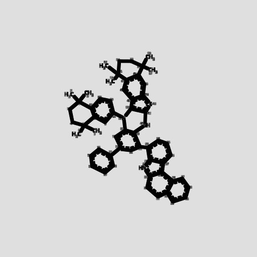 CC1(C)CCC(C)(C)c2cc(N3c4cc(-c5ccccc5)cc(-c5cccc6c5[nH]c5ccc7ccccc7c56)c4Bc4sc5cc6c(cc5c43)C(C)(C)CCC6(C)C)ccc21